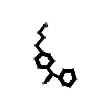 O=C(c1ccccc1)c1ccc(CCCO)cc1